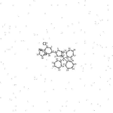 Clc1cc(-c2cnn(C(c3ccccc3)(c3ccccc3)c3ccccc3)c2)cn2ccnc12